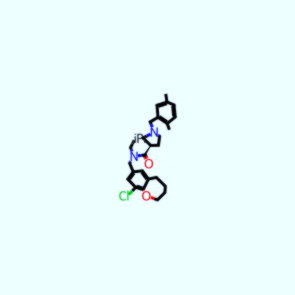 Cc1ccc(C)c(CN2CC[C@@H](C(=O)N(Cc3cc(Cl)c4c(c3)CCCCO4)CC(C)C)C2)c1